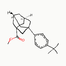 COC(=O)C12C[C@H]3C[C@@H](C1)CC(c1ccc(C(C)(C)C)cc1)(C3)C2